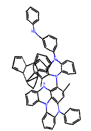 Cc1cc2c3c(c1N1c4ccccc4N(c4cccc(Nc5ccccc5)c4)c4ccc(C56CC5c5ccccc5C5C=CC=CC56)c(C)c41)Nc1ccccc1N3c1ccccc1N2c1ccccc1